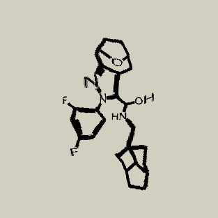 OC(NCC12CC3CCC(C1)C32)c1c2c(nn1-c1ccc(F)cc1F)C1CCC(C2)O1